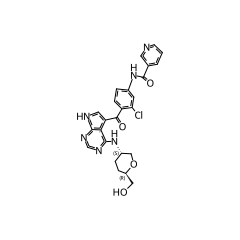 O=C(Nc1ccc(C(=O)c2c[nH]c3ncnc(N[C@H]4CC[C@H](CO)OC4)c23)c(Cl)c1)c1cccnc1